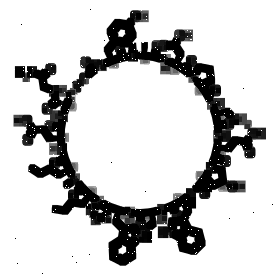 CCCC[C@H]1C(=O)N[C@@H](CCC(=O)O)C(=O)N[C@H](C(=O)NCC(N)=O)CSCC(=O)N[C@@H](Cc2ccc(O)cc2)C(=O)N(C)[C@@H](C)C(=O)N[C@@H](CC(=O)O)C(=O)N2CCC[C@H]2C(=O)N[C@@H](CN)C(=O)N[C@@H](CCC(=O)O)C(=O)N2C[C@H](O)C[C@H]2C(=O)N[C@@H](Cc2c[nH]c3ccccc23)C(=O)N[C@@H](CO)C(=O)N[C@@H](Cc2c[nH]c3ccccc23)c2nnnn2[C@@H](CCCC)C(=O)N1C